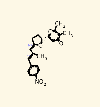 CC(/C=C1/CC[C@H](c2cc(=O)c(C)c(C)o2)O1)=C\c1ccc([N+](=O)[O-])cc1